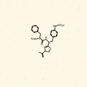 C=C(C)C1CSC([C@H](Cc2ccc(NS(=O)(=O)O)cc2)NC(=O)[C@H](Cc2ccccc2)NC(C)=O)=N1